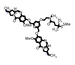 C/C=C1\C[C@H]2C=Nc3cc(OCc4cc(OCCN(C)C(=O)CCC(C)(C)SSC)cc(COc5cc6c(cc5OC)C(=O)N5C/C(=C/C)C[C@H]5C=N6)n4)c(OC)cc3C(=O)N2C1